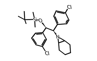 CC(C)(C)[Si](C)(C)O[C@H](c1cccc(Cl)c1)[C@@H](c1ccc(Cl)cc1)N1C2CCCCC21